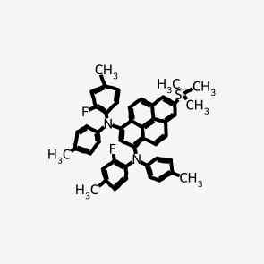 Cc1ccc(N(c2ccc(C)cc2F)c2cc(N(c3ccc(C)cc3)c3ccc(C)cc3F)c3ccc4cc([Si](C)(C)C)cc5ccc2c3c54)cc1